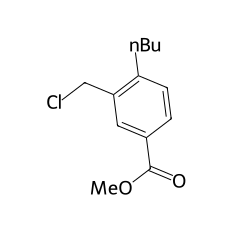 CCCCc1ccc(C(=O)OC)cc1CCl